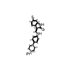 CC(C)N1CCN(c2ccc(NC=C3C(=O)Nc4cc(F)ccc43)cc2)CC1